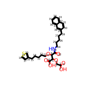 O=C(O)COC(C(=O)O)C(OCCCCCc1ccsc1)C(=O)NCCCCCc1ccc2ccccc2c1